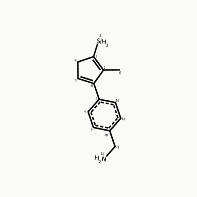 CC1=C([SiH3])CC=C1c1ccc(CN)cc1